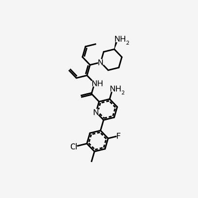 C=C/C(NC(=C)c1nc(-c2cc(Cl)c(C)cc2F)ccc1N)=C(\C=C/C)N1CCC[C@H](N)C1